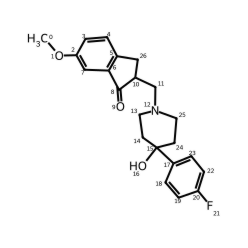 COc1ccc2c(c1)C(=O)C(CN1CCC(O)(c3ccc(F)cc3)CC1)C2